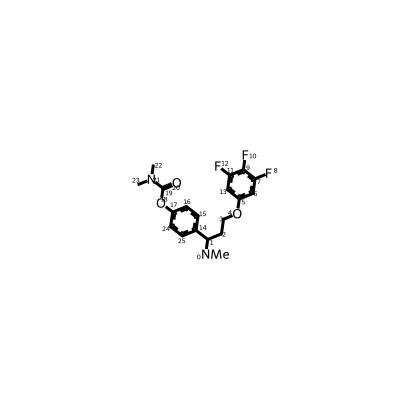 CNC(CCOc1cc(F)c(F)c(F)c1)c1ccc(OC(=O)N(C)C)cc1